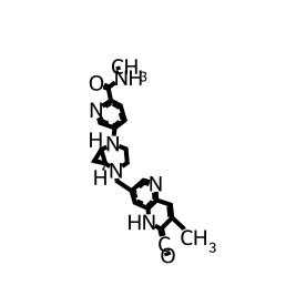 CCC1=Cc2ncc(CN3CCN(c4ccc(C(=O)NC)nc4)[C@@H]4C[C@@H]43)cc2NC1=C=O